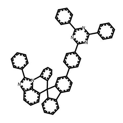 c1ccc(-c2nc(-c3ccccc3)nc(-c3ccc(-c4ccc5c(c4)C4(c6ccccc6-5)c5ccccc5-n5c(-c6ccccc6)nc6cccc4c65)cc3)n2)cc1